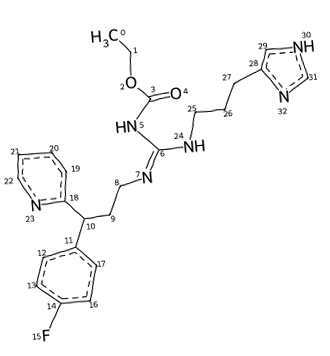 CCOC(=O)NC(=NCCC(c1ccc(F)cc1)c1ccccn1)NCCCc1c[nH]cn1